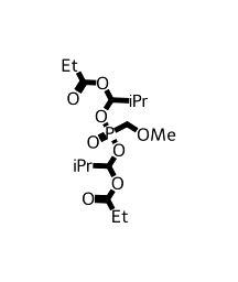 CCC(=O)OC(OP(=O)(COC)OC(OC(=O)CC)C(C)C)C(C)C